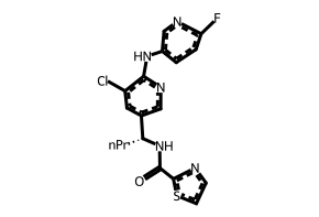 CCC[C@@H](NC(=O)c1nccs1)c1cnc(Nc2ccc(F)nc2)c(Cl)c1